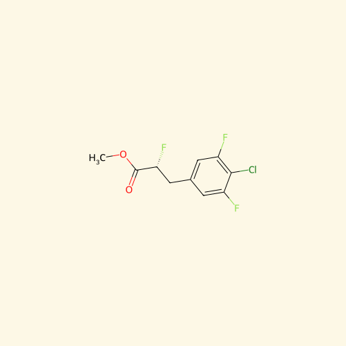 COC(=O)[C@H](F)Cc1cc(F)c(Cl)c(F)c1